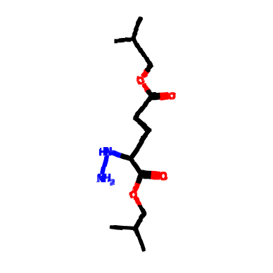 CC(C)COC(=O)CCC(NN)C(=O)OCC(C)C